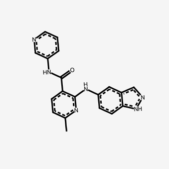 Cc1ccc(C(=O)Nc2cccnc2)c(Nc2ccc3[nH]ncc3c2)n1